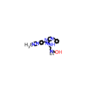 CCN(CCO)CCCNc1nc(-c2ccc(N3CCN(C)CC3)cc2)nc2c1CN(Cc1ccccc1)CC2